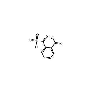 O=C(Cl)c1ccccc1C(=O)S(=O)(=O)Cl